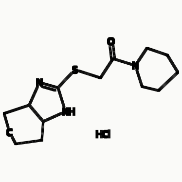 Cl.O=C(CSC1=NC2CCCCC2N1)N1CCCCC1